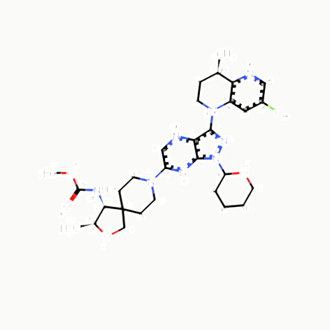 C[C@@H]1CCN(c2nn(C3CCCCO3)c3nc(N4CCC5(CC4)CO[C@@H](C)[C@H]5NC(=O)OC(C)(C)C)cnc23)c2cc(F)cnc21